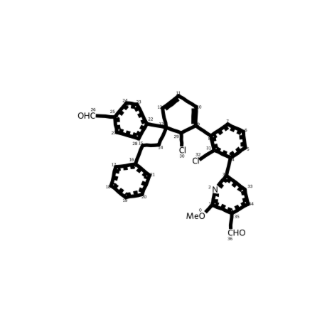 COc1nc(-c2cccc(C3=CC=CC(CCc4ccccc4)(c4ccc(C=O)cc4)C3Cl)c2Cl)ccc1C=O